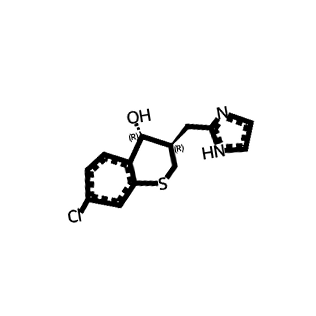 O[C@H]1c2ccc(Cl)cc2SC[C@@H]1Cc1ncc[nH]1